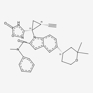 C#C[C@H]1C[C@]1(c1noc(=O)[nH]1)n1c(C(=O)N(C)c2ccccc2)cc2cc([C@H]3CCOC(C)(C)C3)ccc21